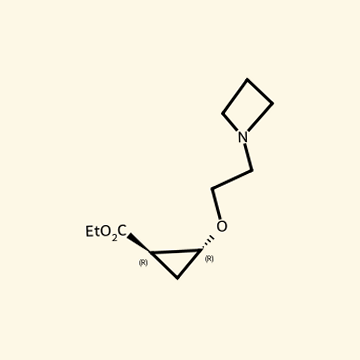 CCOC(=O)[C@@H]1C[C@H]1OCCN1CCC1